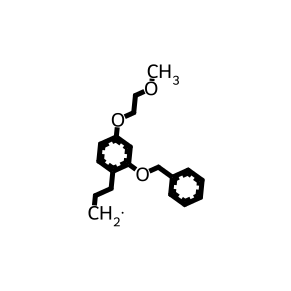 [CH2]CCc1ccc(OCCOC)cc1OCc1ccccc1